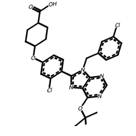 CC1(Oc2ncnc3c2nc(-c2ccc(OC4CCC(C(=O)O)CC4)cc2Cl)n3Cc2cccc(Cl)c2)CC1